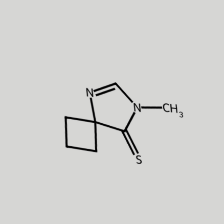 CN1C=NC2(CCC2)C1=S